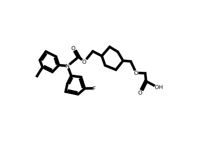 Cc1cccc(N(C(=O)OCC2CCC(COCC(=O)O)CC2)c2cccc(F)c2)c1